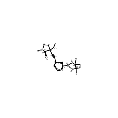 COC1(C#Cc2cccc(B3OC(C)(C)C(C)(C)O3)c2)CCN(C)C1=O